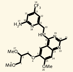 COCC(COc1cc2c(NCc3cc(C(F)(F)F)cc(N)n3)nc(C)nc2cc1OC)OC